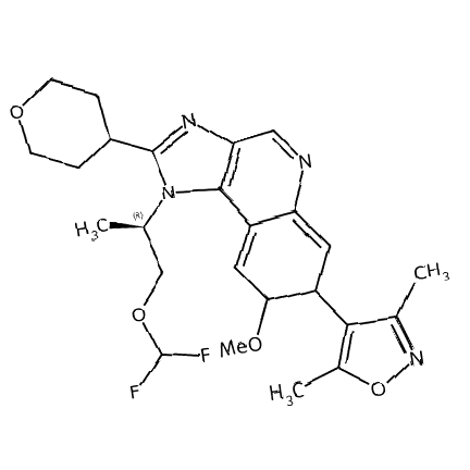 COC1C=c2c(ncc3nc(C4CCOCC4)n([C@H](C)COC(F)F)c23)=CC1c1c(C)noc1C